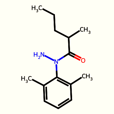 CCCC(C)C(=O)N(N)c1c(C)cccc1C